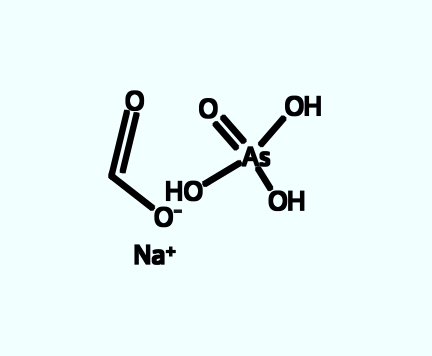 O=C[O-].O=[As](O)(O)O.[Na+]